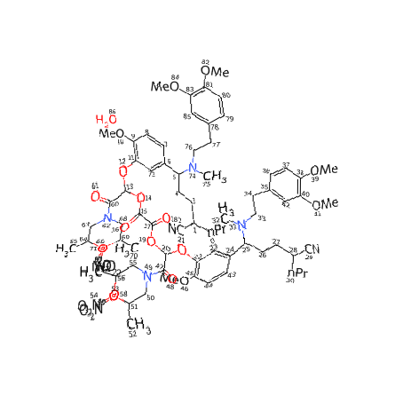 CCCC(C#N)CCC(c1ccc(OC)c(OC(OC(=O)C(=O)OC(Oc2cc(C(CCC(C#N)CCC)N(C)CCc3ccc(OC)c(OC)c3)ccc2OC)C(=O)N(CC(C)O[N+](=O)[O-])CC(C)O[N+](=O)[O-])C(=O)N(CC(C)O[N+](=O)[O-])CC(C)O[N+](=O)[O-])c1)N(C)CCc1ccc(OC)c(OC)c1.O